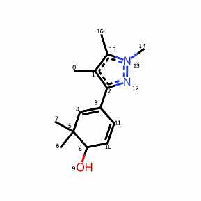 Cc1c(C2=CC(C)(C)C(O)C=C2)nn(C)c1C